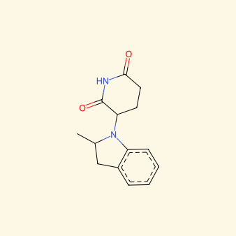 CC1Cc2ccccc2N1C1CCC(=O)NC1=O